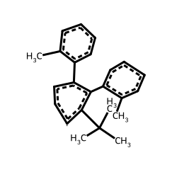 Cc1ccccc1-c1cc[c]c(C(C)(C)C)c1-c1ccccc1C